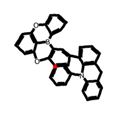 c1ccc(N2c3ccccc3Cc3cccc(-c4ccc5c(c4)B4c6ccccc6Oc6cccc(c64)O5)c32)cc1